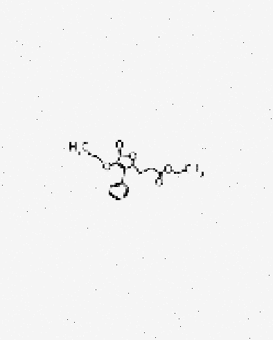 CCCOC1=C(c2ccccc2)C(CCC(=O)OCC)OC1=O